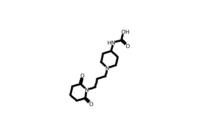 O=C(O)NC1CCN(CCCN2C(=O)CCCC2=O)CC1